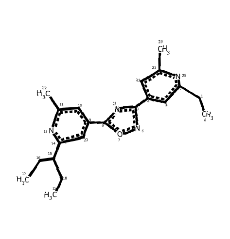 CCc1cc(-c2noc(-c3cc(C)nc(C(CC)CC)c3)n2)cc(C)n1